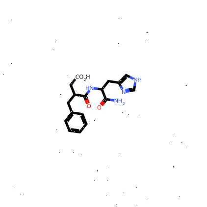 NC(=O)C(Cc1c[nH]cn1)NC(=O)C(CC(=O)O)Cc1ccccc1